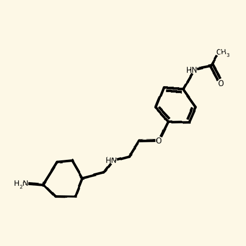 CC(=O)Nc1ccc(OCCNCC2CCC(N)CC2)cc1